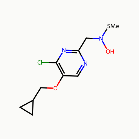 CSN(O)Cc1ncc(OCC2CC2)c(Cl)n1